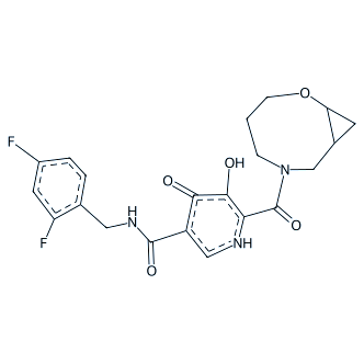 O=C(NCc1ccc(F)cc1F)c1c[nH]c(C(=O)N2CCCOC3CC3C2)c(O)c1=O